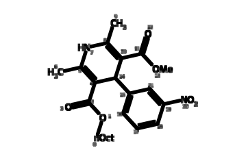 CCCCCCCCOC(=O)C1=C(C)NC(C)=C(C(=O)OC)C1c1cccc([N+](=O)[O-])c1